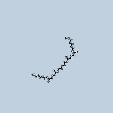 O=C(CSCC(=O)OCSCSCO)OCCSCCOC(=O)CSCC(=O)OCSCSCO